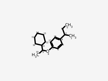 CCC(C)c1ccc(OC(C)C2CCCCC2)cc1